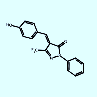 O=C1C(=Cc2ccc(O)cc2)C(C(F)(F)F)=NN1c1ccccc1